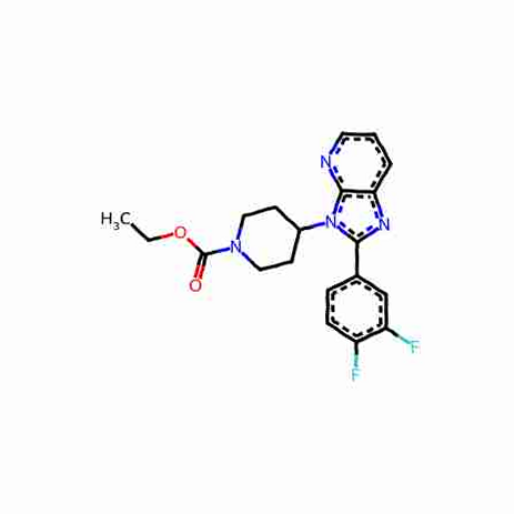 CCOC(=O)N1CCC(n2c(-c3ccc(F)c(F)c3)nc3cccnc32)CC1